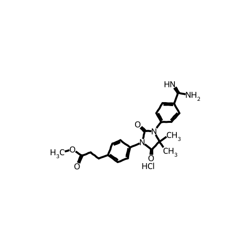 COC(=O)CCc1ccc(N2C(=O)N(c3ccc(C(=N)N)cc3)C(C)(C)C2=O)cc1.Cl